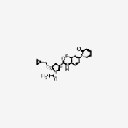 NC(=O)[C@H]1C[C@H](C(=O)Nc2ccc(-n3ccccc3=O)cc2F)C[C@@H]1OCC1CC1